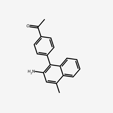 CC(=O)c1ccc(-c2c(N)cc(C)c3ccccc23)cc1